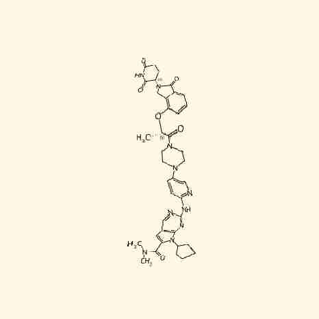 C[C@H](Oc1cccc2c1CN([C@H]1CCC(=O)NC1=O)C2=O)C(=O)N1CCN(c2ccc(Nc3ncc4cc(C(=O)N(C)C)n(C5CCCC5)c4n3)nc2)CC1